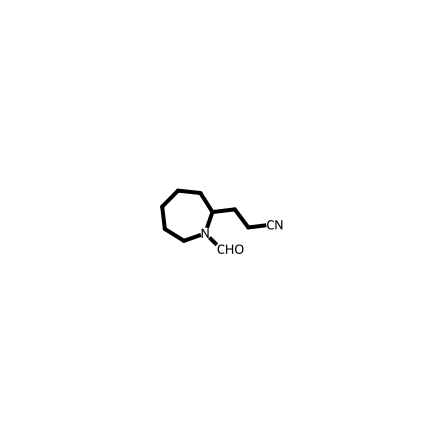 N#CCCC1CCCCCN1C=O